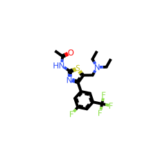 CCN(CC)Cc1sc(NC(C)=O)nc1-c1cc(F)cc(C(F)(F)F)c1